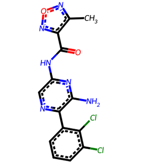 Cc1nonc1C(=O)Nc1cnc(-c2cccc(Cl)c2Cl)c(N)n1